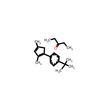 CC1=CC(C)=C(c2ccc(C(C)(C)C)cc2)C1.CCC(=O)CC